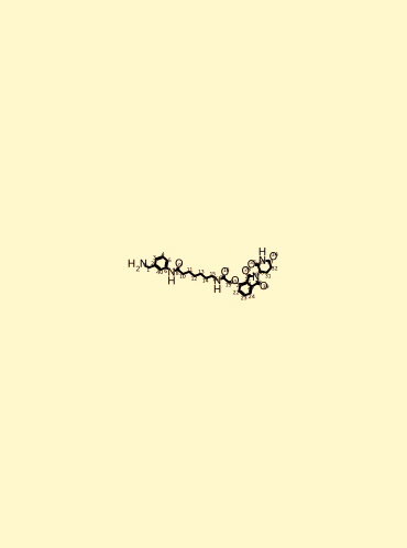 NCc1cccc(NC(=O)CCCCCCNC(=O)COc2cccc3c2C(=O)N(C2CCC(=O)NC2=O)C3=O)c1